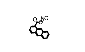 O=NOC(=O)c1cccc2cc3ccccc3cc12